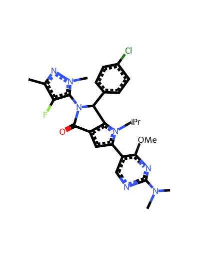 COc1nc(N(C)C)ncc1-c1cc2c(n1C(C)C)C(c1ccc(Cl)cc1)N(c1c(F)c(C)nn1C)C2=O